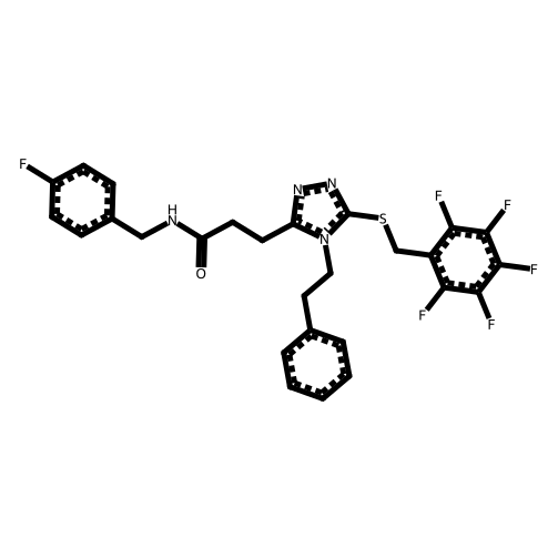 O=C(CCc1nnc(SCc2c(F)c(F)c(F)c(F)c2F)n1CCc1ccccc1)NCc1ccc(F)cc1